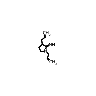 C=CCC1CCN(CC=C)C1=N